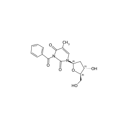 Cc1cn([C@H]2C[C@H](O)[C@@H](CO)O2)c(=O)n(C(=O)c2ccccc2)c1=O